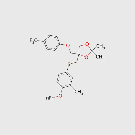 CCCOc1ccc(SCC2(COc3ccc(C(F)(F)F)cc3)COC(C)(C)O2)cc1C